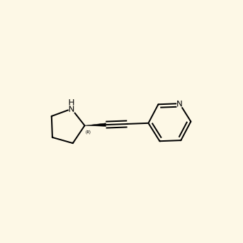 C(#C[C@H]1CCCN1)c1cccnc1